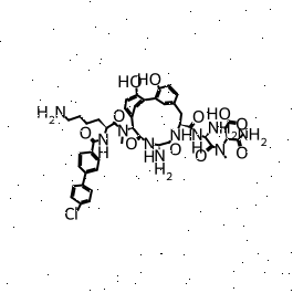 CN(C(=O)[C@H](CCCCN)NC(=O)c1ccc(-c2ccc(Cl)cc2)cc1)[C@@H]1C(=O)N[C@@H](N)C(=O)N[C@H](C(=O)N[C@@H](N)C(=O)N(C)[C@@H](CC(=O)O)C(N)=O)Cc2ccc(O)c(c2)-c2cc1ccc2O